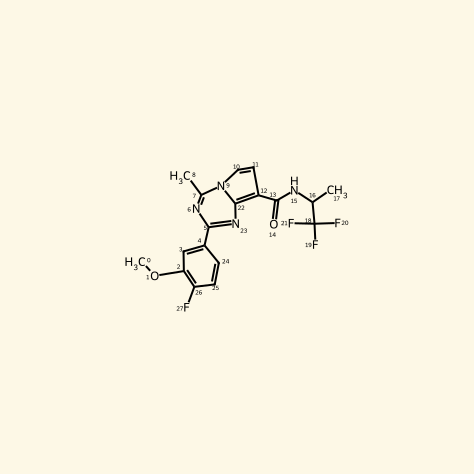 COc1cc(-c2nc(C)n3ccc(C(=O)NC(C)C(F)(F)F)c3n2)ccc1F